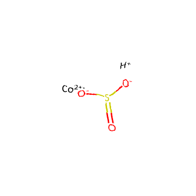 O=S([O-])[O-].[Co+2].[H+]